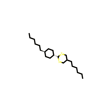 CCCCCCC1CSC([C@H]2CC[C@H](CCCCCC)CC2)SC1